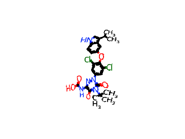 CC(C)c1c[nH]c2ccc(Oc3c(Cl)cc(-n4nc(NC(=O)O)c(=O)n(C(C)(C)C)c4=O)cc3Cl)cc12